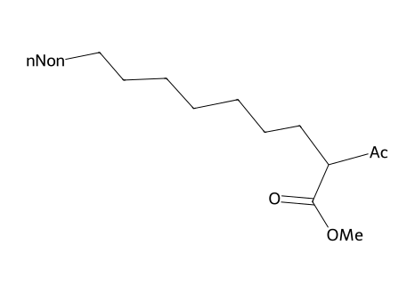 CCCCCCCCCCCCCCCCC(C(C)=O)C(=O)OC